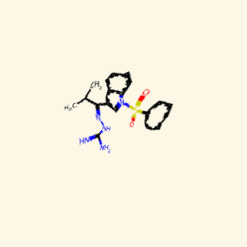 CC(C)/C(=N/NC(=N)N)c1cn(S(=O)(=O)c2ccccc2)c2ccccc12